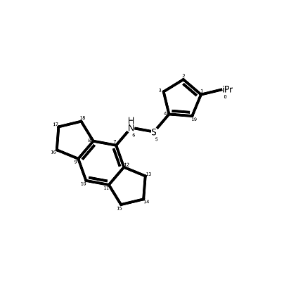 CC(C)C1=CCC(SNc2c3c(cc4c2CCC4)CCC3)=C1